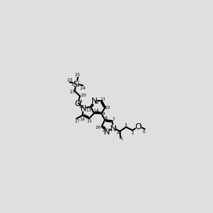 COCCC(C)n1cc(-c2ccnc3c2cc(C)n3OCC[Si](C)(C)C)cn1